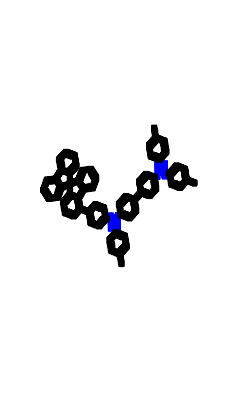 Cc1ccc(N(c2ccc(C)cc2)c2ccc(-c3ccc(N(c4ccc(C)cc4)c4ccc(-c5cccc6c5-c5ccccc5C65c6ccccc6-c6ccccc65)cc4)cc3)cc2)cc1